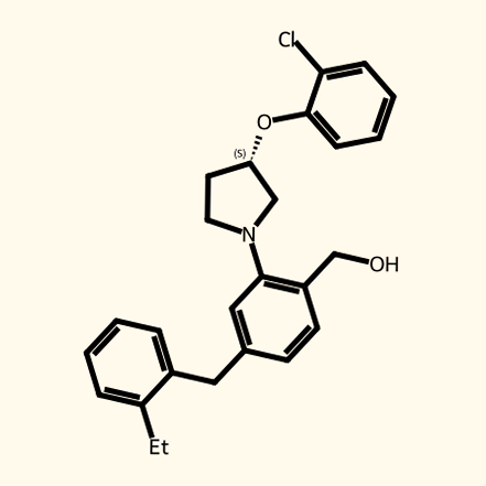 CCc1ccccc1Cc1ccc(CO)c(N2CC[C@H](Oc3ccccc3Cl)C2)c1